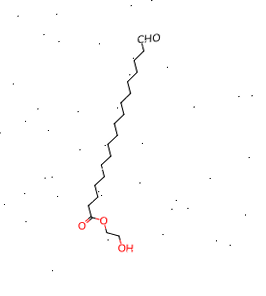 O=CCCCCCCCCCCCCCCCCC(=O)OCCO